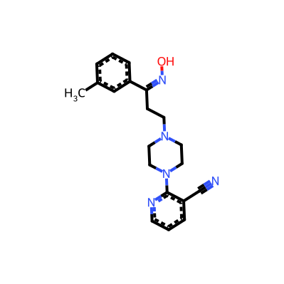 Cc1cccc(/C(CCN2CCN(c3ncccc3C#N)CC2)=N\O)c1